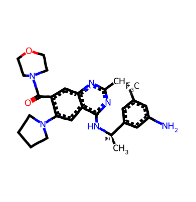 Cc1nc(N[C@H](C)c2cc(N)cc(C(F)(F)F)c2)c2cc(N3CCCC3)c(C(=O)N3CCOCC3)cc2n1